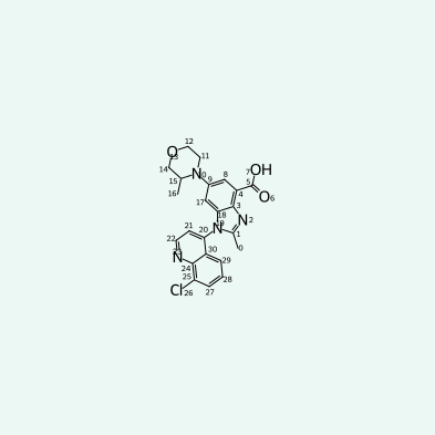 Cc1nc2c(C(=O)O)cc(N3CCOCC3C)cc2n1-c1ccnc2c(Cl)cccc12